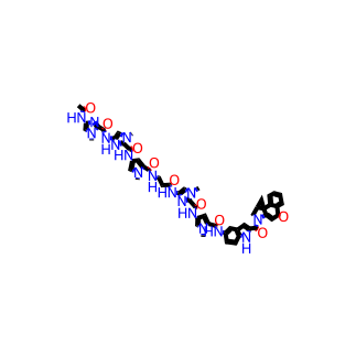 CC(=O)Nc1cn(C)c(C(=O)Nc2cn(C)c(C(=O)Nc3cc(C(=O)NCCC(=O)Nc4cn(C)c(C(=O)Nc5cc(C(=O)Nc6ccc7[nH]c(C(=O)N8CC9CC9%10C8=CC(=O)c8ccccc8%10)cc7c6)n(C)c5)n4)n(C)c3)n2)n1